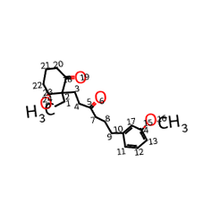 CCC1(CCC(=O)CCCc2cccc(OC)c2)C(=O)CCCC1=O